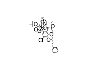 CCOCCOCC(CCc1ccccc1)Oc1cc(F)c(S(=O)(=O)N(C(=O)OC(C)(C)C)c2cscn2)cc1Cl